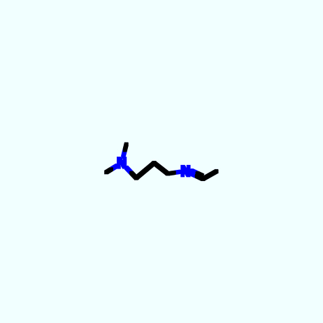 C/C=N/CCCN(C)C